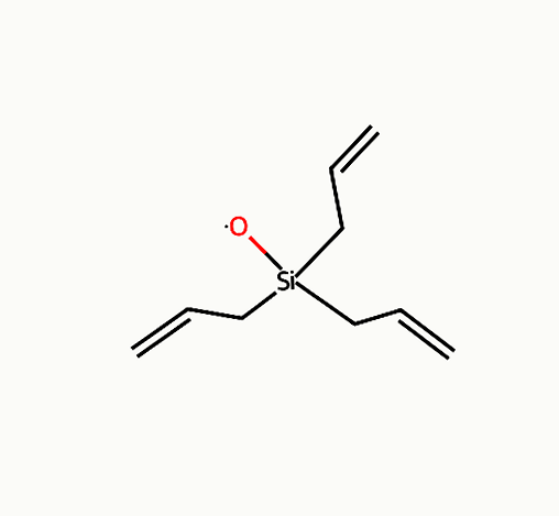 C=CC[Si]([O])(CC=C)CC=C